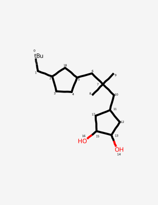 CC(C)(C)CC1CCC(CC(C)(C)CC2CC(O)C(O)C2)C1